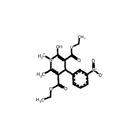 CCOC(=O)C1=C(C)N(C)C(O)=C(C(=O)OCC)C1c1cccc([N+](=O)[O-])c1